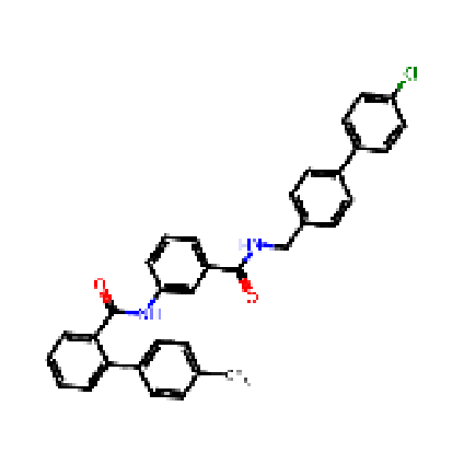 O=C(NCc1ccc(-c2ccc(Cl)cc2)cc1)c1cccc(NC(=O)c2ccccc2-c2ccc(C(F)(F)F)cc2)c1